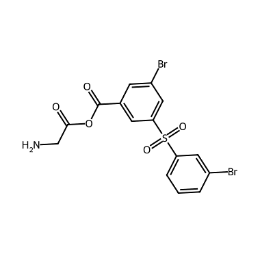 NCC(=O)OC(=O)c1cc(Br)cc(S(=O)(=O)c2cccc(Br)c2)c1